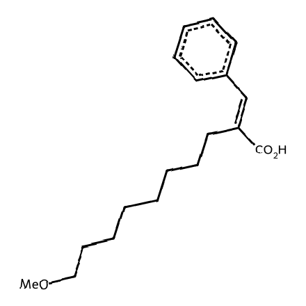 COCCCCCCCCC(=Cc1ccccc1)C(=O)O